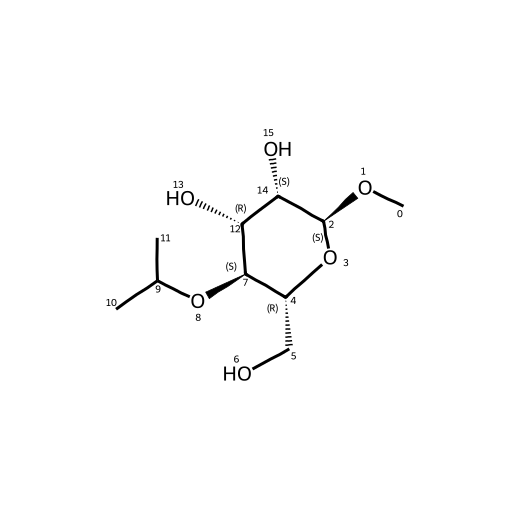 CO[C@H]1O[C@H](CO)[C@@H](OC(C)C)[C@H](O)[C@@H]1O